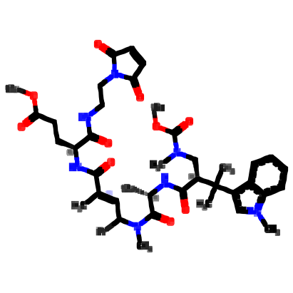 C/C(=C\C(C(C)C)N(C)C(=O)[C@@H](NC(=O)[C@@H](CN(C)C(=O)OC(C)(C)C)C(C)(C)c1cn(C)c2ccccc12)C(C)(C)C)C(=O)N[C@@H](CCC(=O)OC(C)(C)C)C(=O)NCCN1C(=O)C=CC1=O